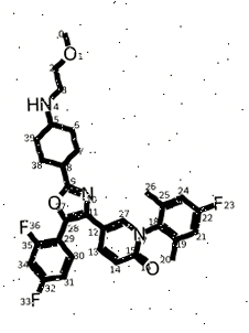 COCCNC1CCC(c2nc(-c3ccc(=O)n(-c4c(C)cc(F)cc4C)c3)c(-c3ccc(F)cc3F)o2)CC1